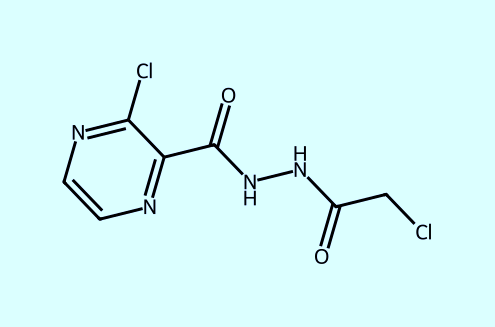 O=C(CCl)NNC(=O)c1nccnc1Cl